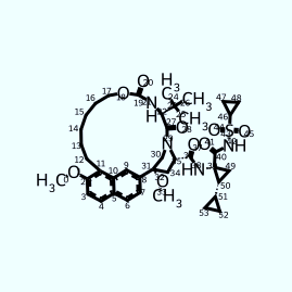 COc1ccc2ccc3cc2c1CCCCCCOC(=O)N[C@@H](C(C)(C)C)C(=O)N1C[C@@]3(OC)C[C@H]1C(=O)N[C@]1(C(=O)NS(=O)(=O)C2CC2)C[C@@H]1C1CC1